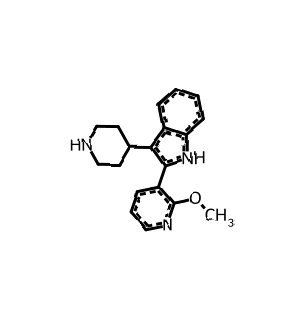 COc1ncccc1-c1[nH]c2ccccc2c1C1CCNCC1